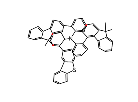 CC1(C)c2ccccc2-c2ccc(-c3ccccc3N(c3ccccc3-c3cccc4c3-c3ccccc3C4(C)C)C3CC=CC=C3c3ccc4sc5ccccc5c4c3)cc21